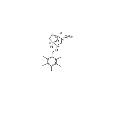 CO[C@@H]1C[C@H](OCc2c(C)c(C)c(C)c(C)c2C)[C@H]2CO[C@@H]1O2